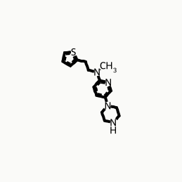 CN(CCc1cccs1)c1ccc(N2CCNCC2)cn1